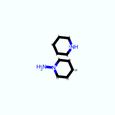 C1CCNCC1.NN1CCCCC1